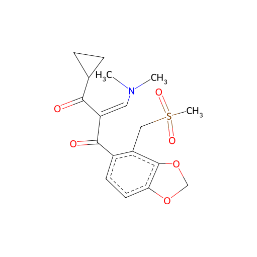 CN(C)C=C(C(=O)c1ccc2c(c1CS(C)(=O)=O)OCO2)C(=O)C1CC1